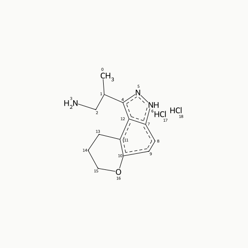 CC(CN)c1n[nH]c2ccc3c(c12)CCCO3.Cl.Cl